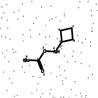 CC(C)(C)C(=O)ONC1CCC1